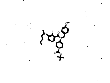 CCCCCC.COc1ccc(CN(C(=O)c2cccc(Cl)c2I)C2=CCN(C(=O)OC(C)(C)C)CC2)cc1